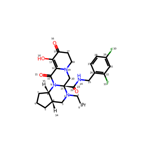 CC(C)CN1C[C@@H]2CCC[C@@H]2N2C(=O)C3=C(O)C(=O)CCN3C[C@]12C(=O)NCc1ccc(F)cc1F